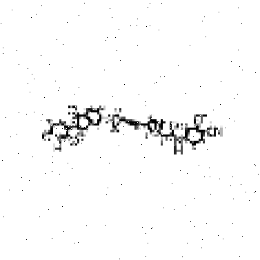 CC(C(=O)Nc1ccc(C#N)c(C(F)(F)F)c1)n1cc(C#CC2CN(c3ccc4c(c3)C(=O)N(C3CCC(=O)NC3=O)C4=O)C2)cn1